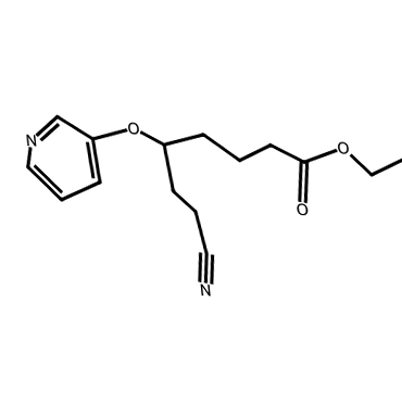 CCOC(=O)CCCC(CCC#N)Oc1cccnc1